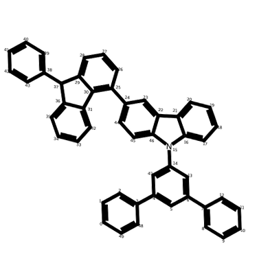 c1ccc(-c2cc(-c3ccccc3)cc(-n3c4ccccc4c4cc(-c5cccc6c5-c5ccccc5C6c5ccccc5)ccc43)c2)cc1